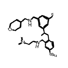 CC(Cc1ccc(C(C)(C)C)cc1CNCCN(C)C)c1cc(F)cc(CNCC2CCOCC2)c1